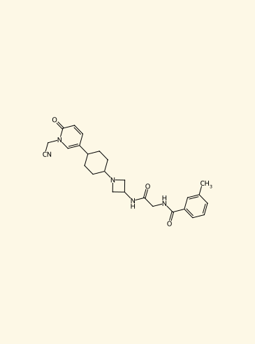 Cc1cccc(C(=O)NCC(=O)NC2CN(C3CCC(c4ccc(=O)n(CC#N)c4)CC3)C2)c1